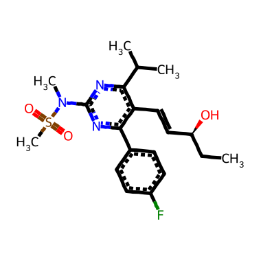 CC[C@H](O)/C=C/c1c(-c2ccc(F)cc2)nc(N(C)S(C)(=O)=O)nc1C(C)C